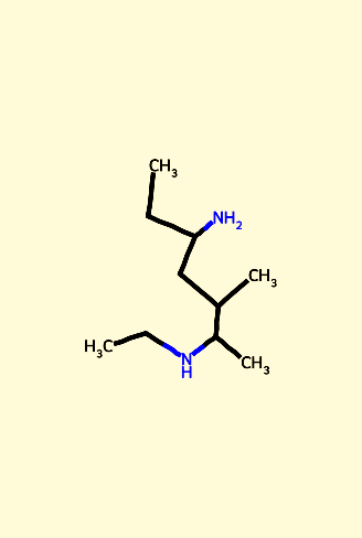 CCNC(C)C(C)CC(N)CC